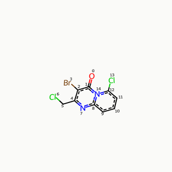 O=c1c(Br)c(CCl)nc2cccc(Cl)n12